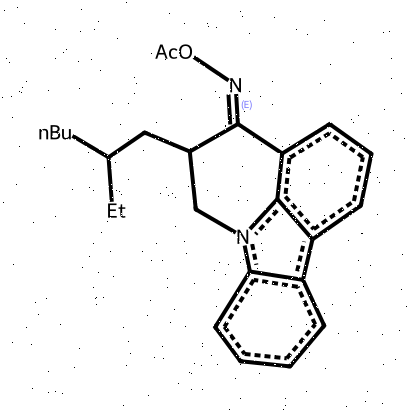 CCCCC(CC)CC1Cn2c3ccccc3c3cccc(c32)/C1=N/OC(C)=O